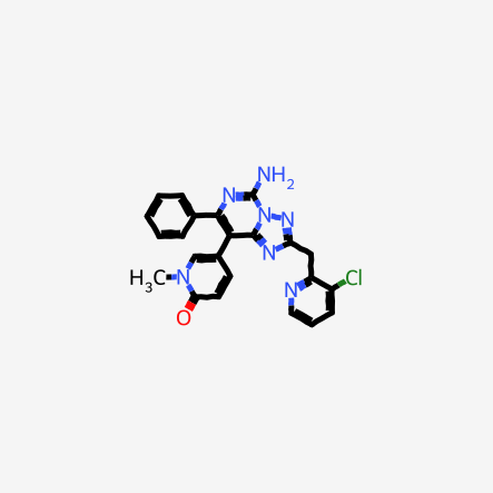 Cn1cc(-c2c(-c3ccccc3)nc(N)n3nc(Cc4ncccc4Cl)nc23)ccc1=O